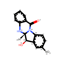 O=C1c2ccccc2N[C@H]2[C@H](O)c3cc([N+](=O)[O-])ccc3N12